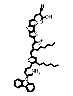 CCCCCCC(/C=C(\SC)c1cc2sc3cc(CC(C#N)C(=O)O)sc3c2s1)=C\c1cc(CCCCCC)c(C/C=C\C(=C/N)n2c3ccccc3c3ccccc32)s1